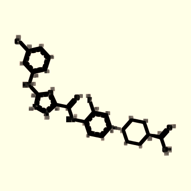 O=C(Nc1ccc([C@H]2CC[C@H](C(=O)O)CC2)cc1F)c1nnc(Nc2cccc(Cl)c2)o1